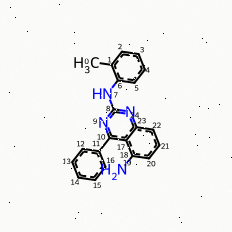 Cc1ccccc1Nc1nc(-c2ccccc2)c2c(N)cccc2n1